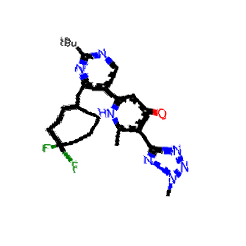 Cc1[nH]c(-c2cnc(C(C)(C)C)nc2C2CCC(F)(F)CC2)cc(=O)c1-c1nnn(C)n1